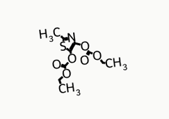 CCOC(=O)Oc1nc(C)sc1OC(=O)OCC